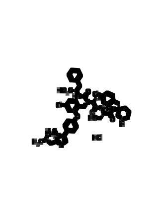 C[C@@H](C(=O)N[C@@H](CO)C(=O)N[C@@]1(Cc2ccc(Cl)cc2)CCCNC1)N(Cc1ccc(Cl)cc1Oc1ccc(-c2cnc(CN(C)C)n2C)cc1)C(=O)N[C@@H](Cc1ccccc1)C(=O)O.Cl